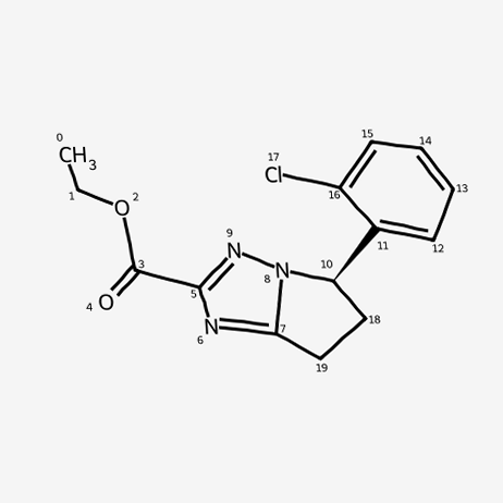 CCOC(=O)c1nc2n(n1)[C@@H](c1ccccc1Cl)CC2